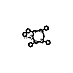 C1=C(c2ccccc2)c2ccc3[nH]c(cc3-c3ccccc3)c3nc(c4nc(Nc5ccccc5)sc4c4[nH]c(cc4-c4ccccc4)c1n2)C(c1ccccc1)=C3